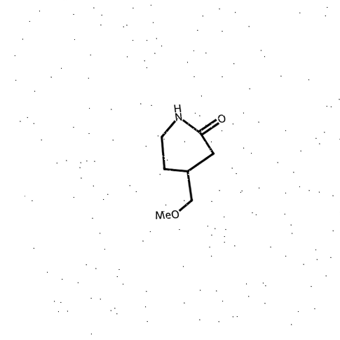 COCC1CCNC(=O)C1